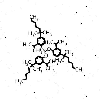 CCCCCC(C)(C)c1ccc(OP(Oc2ccc(C(C)(C)CCCCC)cc2C(C)C)Oc2ccc(C(C)(C)CCCCC)cc2C(C)C)c(C(C)C)c1